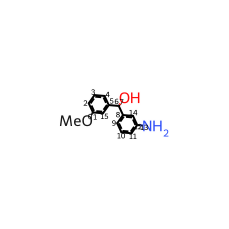 COc1cccc(C(O)c2cccc(N)c2)c1